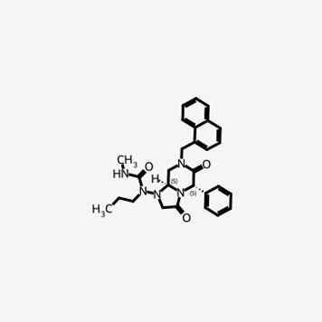 CCCN(C(=O)NC)N1CC(=O)N2[C@@H](c3ccccc3)C(=O)N(Cc3cccc4ccccc34)C[C@@H]21